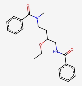 CCOC(CCN(C)C(=O)c1ccccc1)CNC(=O)c1ccccc1